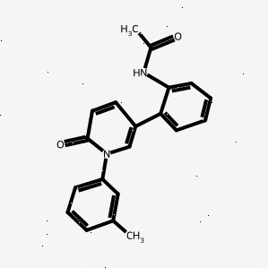 CC(=O)Nc1ccccc1-c1ccc(=O)n(-c2cccc(C)c2)c1